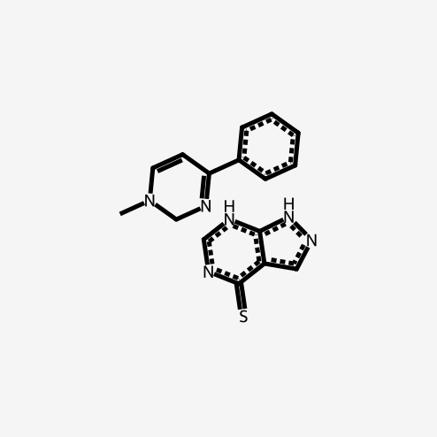 CN1C=CC(c2ccccc2)=NC1.S=c1nc[nH]c2[nH]ncc12